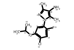 Cc1nn(-c2cc(OC(C)C)c(Cl)cc2F)c(C)c1N